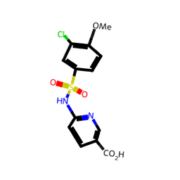 COc1ccc(S(=O)(=O)Nc2ccc(C(=O)O)cn2)cc1Cl